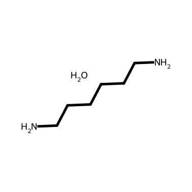 NCCCCCCN.O